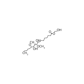 CCCCCC(OC)C(O)CC(OC)C(O)CCCCCCCC(=O)OCCO